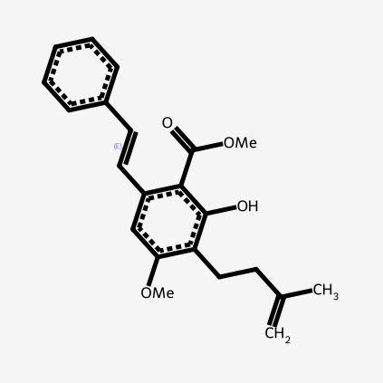 C=C(C)CCc1c(OC)cc(/C=C/c2ccccc2)c(C(=O)OC)c1O